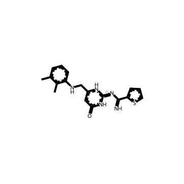 Cc1cccc(NCc2cc(=O)[nH]/c(=N\C(=N)c3cccs3)[nH]2)c1C